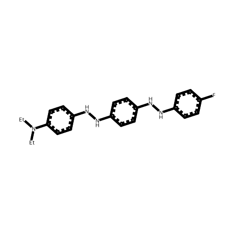 CCN(CC)c1ccc(NNc2ccc(NNc3ccc(F)cc3)cc2)cc1